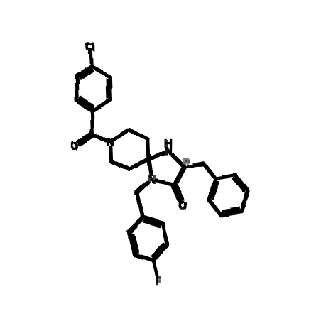 O=C(c1ccc(Cl)cc1)N1CCC2(CC1)N[C@@H](Cc1ccccc1)C(=O)N2Cc1ccc(F)cc1